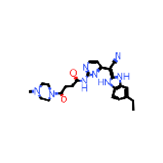 CCc1ccc2c(c1)N/C(=C(\C#N)c1ccnc(NC(=O)CCC(=O)N3CCN(C)CC3)n1)N2